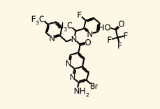 CC(c1ncccc1F)N(Cc1ccc(C(F)(F)F)cn1)C(=O)c1cnc2nc(N)c(Br)cc2c1.O=C(O)C(F)(F)F